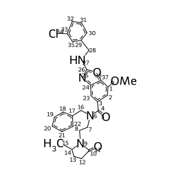 COc1cc(C(=O)N(CCN2C(=O)CCC2C)Cc2ccccc2)cc2nc(NCc3cccc(Cl)c3)oc12